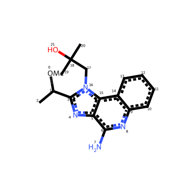 COC(C)c1nc2c(N)nc3ccccc3c2n1CC(C)(C)O